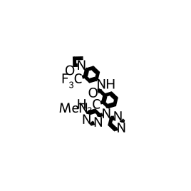 CNc1cc(N(c2ccncn2)c2cccc(C(=O)Nc3ccc(N4CCC4=O)c(C(F)(F)F)c3)c2C)ncn1